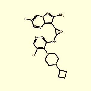 Nc1nn2cc(F)cnc2c1C1OC1Nc1cncc(Cl)c1N1CCN(C2COC2)CC1